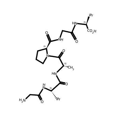 CC(C)[C@H](NC(=O)CNC(=O)[C@@H]1CCCN1C(=O)[C@H](C)NC(=O)[C@@H](NC(=O)CN)C(C)C)C(=O)O